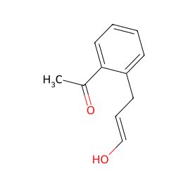 CC(=O)c1ccccc1CC=CO